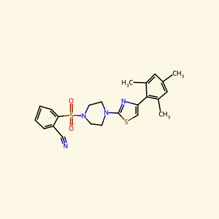 Cc1cc(C)c(-c2csc(N3CCN(S(=O)(=O)c4ccccc4C#N)CC3)n2)c(C)c1